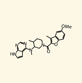 COc1ccc2oc(C(=O)N3CCC(C)C(N(C)c4ncnc5[nH]ccc45)C3)c(C)c2c1